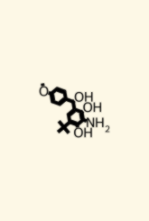 COc1ccc(C(O)c2cc(C(C)(C)C)c(O)c(N)c2O)cc1